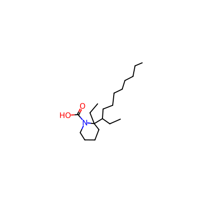 CCCCCCCCC(CC)C1(CC)CCCCN1C(=O)O